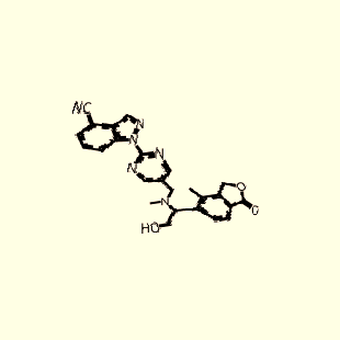 Cc1c(C(CO)N(C)Cc2cnc(-n3ncc4c(C#N)cccc43)nc2)ccc2c1COC2=O